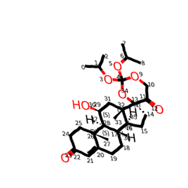 CC(C)OC1(OC(C)C)OCC(=O)[C@]2(CC[C@H]3[C@@H]4CCC5=CC(=O)CC[C@]5(C)[C@H]4[C@@H](O)C[C@@]32C)O1